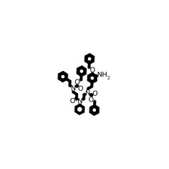 Nc1cc(CCN(CCN(C(=O)CCN(CCc2ccccc2)C(=O)OCc2ccccc2)C2CCCCC2)C(=O)OCc2ccccc2)ccc1OCc1ccccc1